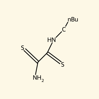 CCCCCNC(=S)C(N)=S